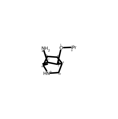 CC(C)OC1=C2CCC(=C1N)NC2